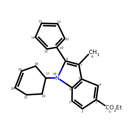 CCOC(=O)c1ccc2c(c1)c(C)c(-c1ccccc1)n2C1CC=CCC1